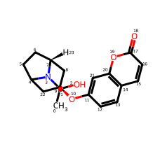 CB(O)N1C2CC[C@@H]1C[C@@H](Oc1ccc3ccc(=O)oc3c1)C2